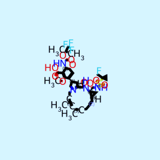 COC1=C(C(=O)O)[C@H](NC(=O)OC(C)(C)C(F)(F)F)C(=O)C=C1[C@H]1C[C@H]2C(=O)N[C@]3(C(=O)NS(=O)(=O)C4(CF)CC4)C[C@H]3/C=C\CC[C@H](C)C[C@@H](C)CCN2C1